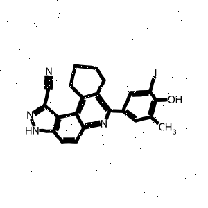 Cc1cc(-c2nc3ccc4[nH]nc(C#N)c4c3c3c2CCCC3)cc(I)c1O